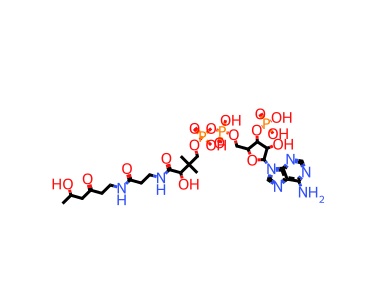 CC(O)CC(=O)CCNC(=O)CCNC(=O)C(O)C(C)(C)COP(=O)(O)OP(=O)(O)OCC1OC(n2cnc3c(N)ncnc32)C(O)C1OP(=O)(O)O